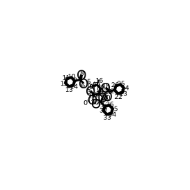 CO[C@H]1O[C@H](COC(=O)c2ccccc2)[C@@H](C)[C@H](OC(=O)c2ccccc2)[C@H]1OC(=O)c1ccccc1